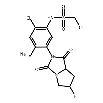 O=C1C2CC(F)CN2C(=O)N1c1cc(NS(=O)(=O)CCl)c(Cl)cc1F.[Na]